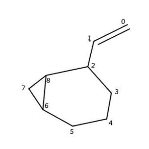 C=[C]C1CCCC2CC12